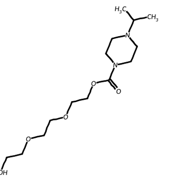 CC(C)N1CCN(C(=O)OCCOCCOCCO)CC1